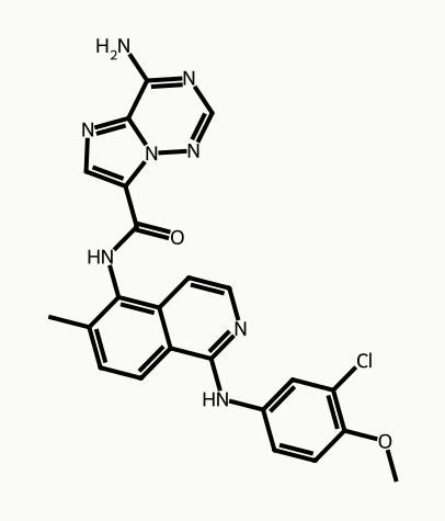 COc1ccc(Nc2nccc3c(NC(=O)c4cnc5c(N)ncnn45)c(C)ccc23)cc1Cl